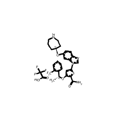 C[C@@H](Oc1cc(-n2cnc3ccc(O[C@H]4CCCNCC4)cc32)sc1C(N)=O)c1ccccc1C(F)(F)F.O=C(O)C(F)(F)F